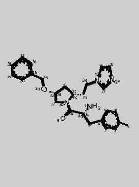 Cc1ccc(C[C@@H](N)C(=O)N2C[C@H](OCc3ccccc3)C[C@@H]2CCn2ccnc2)cc1